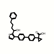 O=C(O)C1(c2ccc(-c3ccc(-c4ccsc4C(O)CCCc4ccccc4)cc3)cc2)CC1